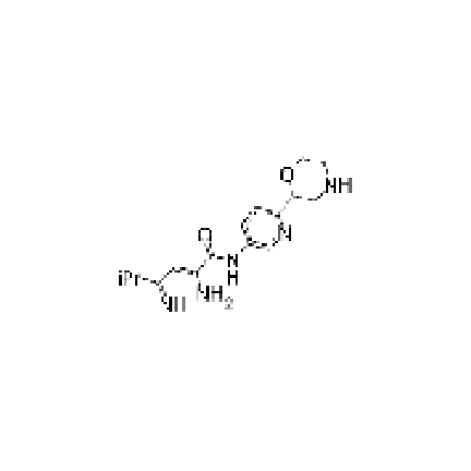 CC(C)C(=N)/C=C(\N)C(=O)Nc1ccc([C@H]2CNCCO2)nc1